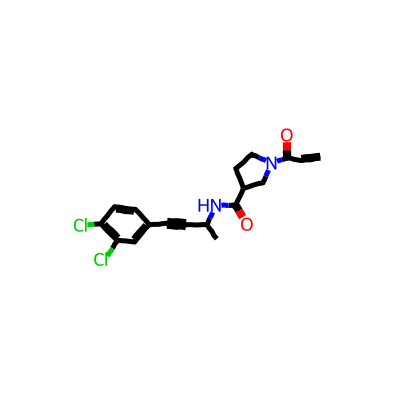 C=CC(=O)N1CCC(C(=O)NC(C)C#Cc2ccc(Cl)c(Cl)c2)C1